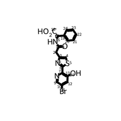 O=C(Cc1csc(-c2ncc(Br)cc2O)n1)N[C@H](C(=O)O)c1ccccc1